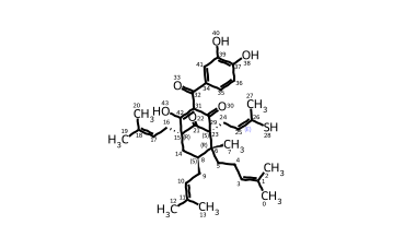 CC(C)=CCC[C@]1(C)[C@@H](CC=C(C)C)C[C@]2(CC=C(C)C)C(=O)[C@@]1(C/C=C(\C)S)C(=O)C(C(=O)c1ccc(O)c(O)c1)=C2O